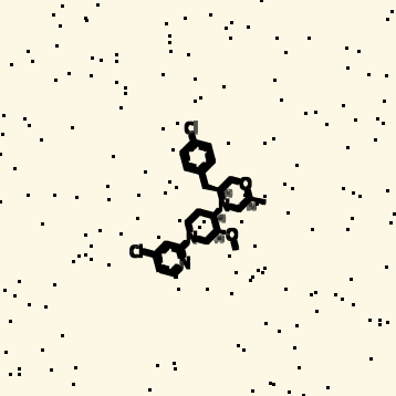 CO[C@@H]1CN(c2cc(Cl)ccn2)CC[C@H]1N1C[C@H](C)OC[C@@H]1Cc1ccc(Cl)cc1